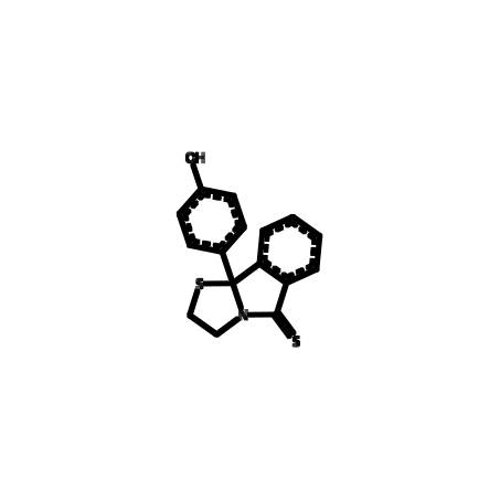 Oc1ccc(C23SCCN2C(=S)c2ccccc23)cc1